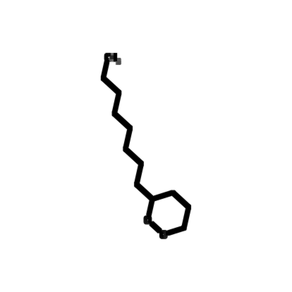 CCCCCCCCC1CCCOO1